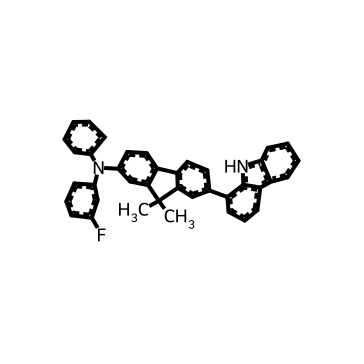 CC1(C)c2cc(-c3cccc4c3[nH]c3ccccc34)ccc2-c2ccc(N(c3ccccc3)c3cccc(F)c3)cc21